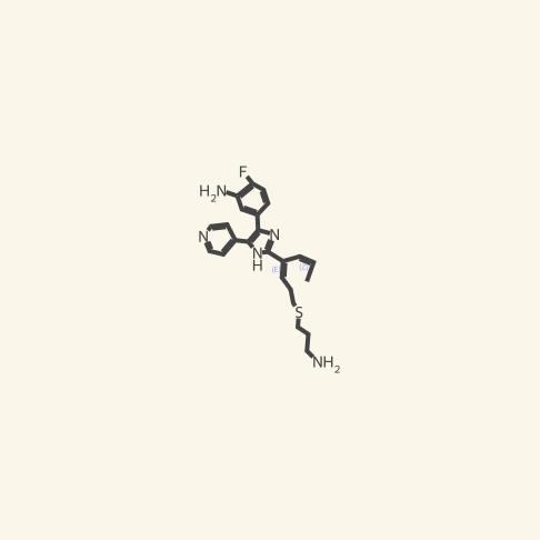 C/C=C\C(=C/CCSCCCN)c1nc(-c2ccc(F)c(N)c2)c(-c2ccncc2)[nH]1